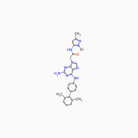 CCn1nc(C)cc1NC(=O)Cn1cnc2c(Nc3ccc(-c4c(C)cccc4C)cc3)nc(N)nc21